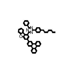 C=C/C=C\C=C/Cc1ccc(-c2nc(-c3ccccc3)nc(-c3cc(-c4ccc5c6ccccc6c6ccccc6c5c4)cc4oc5ccccc5c34)n2)cc1